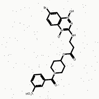 O=C(CCNc1n[n+](O)c2cc(Br)ccc2[n+]1[O-])OC1CCN(C(=O)c2cccc(S(=O)(=O)O)c2)CC1